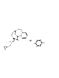 O=C1CCC2(O)CCC3C=CC(OC(=S)Oc4c(F)c(F)c(F)c(F)c4F)=C4O[C@@H]1[C@@](CCNCC1CC1)(C2)C43